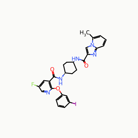 Cc1cccc2nc(C(=O)N[C@H]3CC[C@H](NC(=O)c4cc(F)cnc4Oc4cccc(I)c4)CC3)cn12